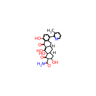 Cc1cccnc1-c1ccc(O)c2c1C[C@H]1C[C@H]3CC(O)C(C(N)=O)C(=O)[C@@]3(O)C(O)=C1C2=O